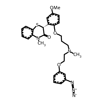 COc1ccc(OCCCN(C)CCOc2cccc(N=[N+]=[N-])c2)c([C@H]2Sc3ccccc3N(C)C2=O)c1